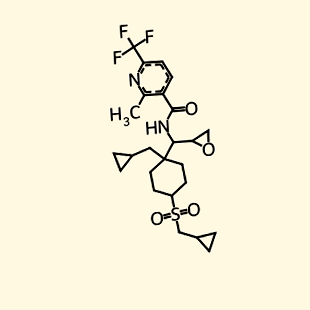 Cc1nc(C(F)(F)F)ccc1C(=O)NC(C1CO1)C1(CC2CC2)CCC(S(=O)(=O)CC2CC2)CC1